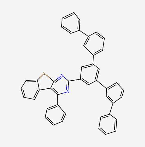 c1ccc(-c2cccc(-c3cc(-c4cccc(-c5ccccc5)c4)cc(-c4nc(-c5ccccc5)c5c(n4)sc4ccccc45)c3)c2)cc1